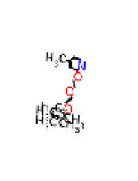 Cc1ccnc(OCCOCCO[Si](C)(C)C(C)(C)C)c1